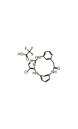 O=C(O)C(F)(F)F.O=C1Cc2cccc(c2)Nc2ncc(Cl)c(n2)Nc2cccc(c2)N1